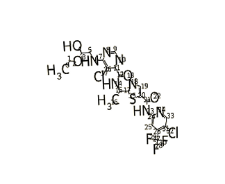 CCOC(O)CNc1ncnc(C(=O)NC(C)c2ncc(C(=O)Nc3cc(C(F)(F)F)c(Cl)cn3)s2)c1Cl